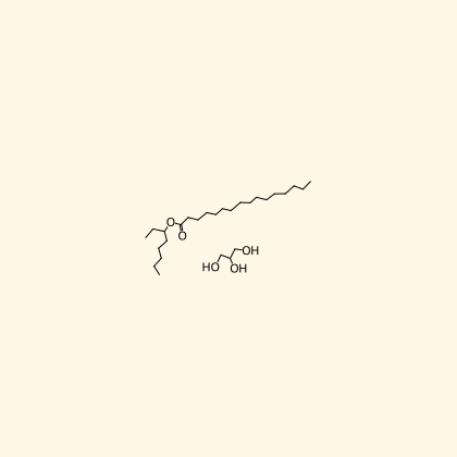 CCCCCCCCCCCCCCCC(=O)OC(CC)CCCCC.OCC(O)CO